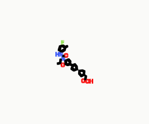 Cc1cc(NC(=O)N2CC(C)Oc3cc(-c4ccc([C@H]5CC[C@H](CC(=O)O)CC5)cc4)ccc32)ccc1F